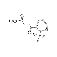 O=C(O)CCC(=O)c1ccccc1C(F)(F)F